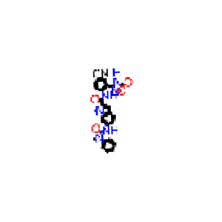 CN(C(=O)Nc1ccc2cc(C(=O)Nc3ccc(C#N)cc3-c3noc(=O)[nH]3)n(C)c2c1)c1ccccc1